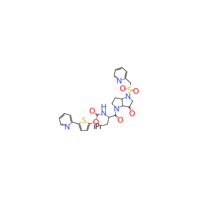 CC(C)CC(NC(=O)Oc1ccc(-c2ccccn2)s1)C(=O)N1CCC2C1C(=O)CN2S(=O)(=O)Cc1ccccn1